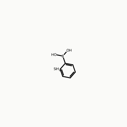 OB(O)c1ccccc1.[SiH4]